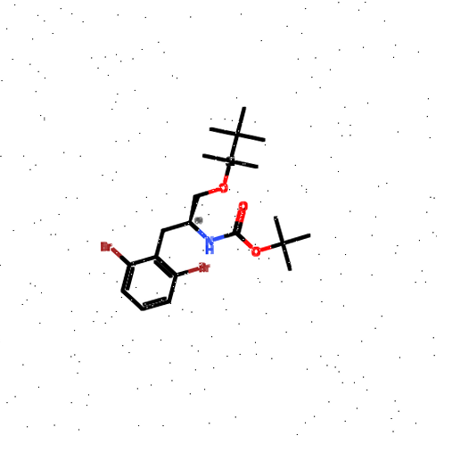 CC(C)(C)OC(=O)N[C@H](CO[Si](C)(C)C(C)(C)C)Cc1c(Br)cccc1Br